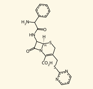 NC(C(=O)NC1C(=O)N2C(C(=O)O)=C(CSc3ncccn3)CS[C@H]12)c1ccccc1